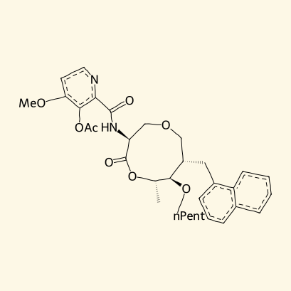 CCCCCO[C@@H]1[C@@H](Cc2cccc3ccccc23)COC[C@H](NC(=O)c2nccc(OC)c2OC(C)=O)C(=O)O[C@H]1C